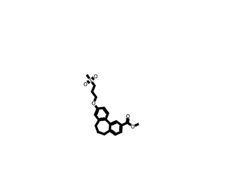 COC(=O)c1ccc2c(c1)-c1ccc(OCCCS(C)(=O)=O)cc1CCC2